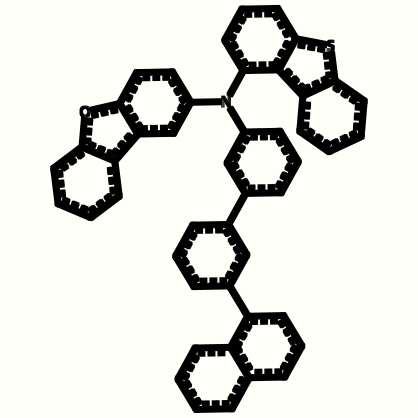 c1cc(-c2cccc(N(c3ccc4oc5ccccc5c4c3)c3cccc4sc5ccccc5c34)c2)cc(-c2cccc3ccccc23)c1